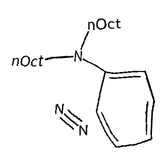 CCCCCCCCN(CCCCCCCC)c1ccccc1.N#N